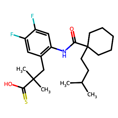 CC(C)CCC1(C(=O)Nc2cc(F)c(F)cc2CC(C)(C)C(O)=S)CCCCC1